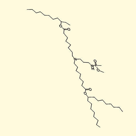 CCCCCCCCC(CC)OC(=O)CCCCCCCN(CCCCCCCC(=O)OC(CCCCCCCC)CCCCCCCC)CCCNP(C)(=O)OC